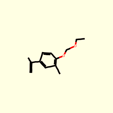 C=C(C)c1ccc(OCOCC)c(C)c1